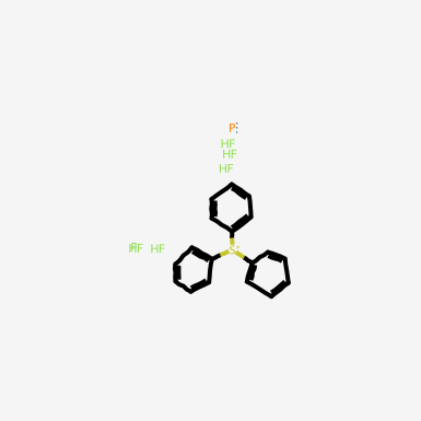 F.F.F.F.F.[F-].[P].c1ccc([S+](c2ccccc2)c2ccccc2)cc1